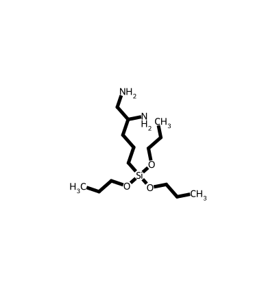 CCCO[Si](CCCC(N)CN)(OCCC)OCCC